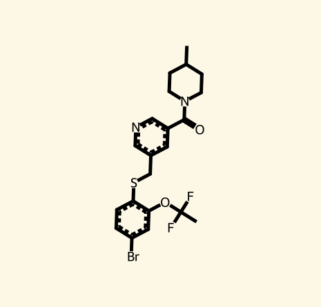 CC1CCN(C(=O)c2cncc(CSc3ccc(Br)cc3OC(C)(F)F)c2)CC1